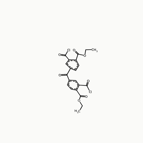 CCOC(=O)c1ccc(C(=O)c2ccc(C(=O)OCC)c(C(=O)Cl)c2)cc1C(=O)Cl